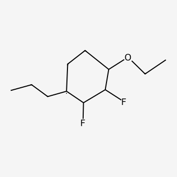 CCC[C]1CCC(OCC)C(F)C1F